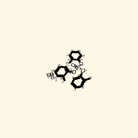 Cc1ccccc1OP(=O)(Oc1ccccc1C)Oc1ccccc1C.O.[KH]